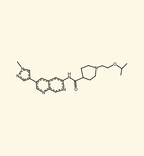 CC(C)OCCN1CCC(C(=O)Nc2cc3cc(-c4cnn(C)c4)cnc3cn2)CC1